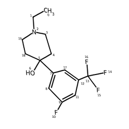 CCN1CCC(O)(c2cc(F)cc(C(F)(F)F)c2)CC1